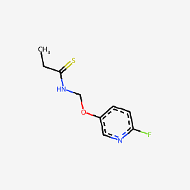 CCC(=S)NCOc1ccc(F)nc1